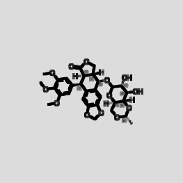 COc1cc([C@@H]2c3cc4c(cc3[C@@H](OC3O[C@@H]5CO[C@@H](C)O[C@H]5[C@H](O)[C@H]3O)[C@H]3COC(=O)[C@H]23)OCO4)cc(OC)c1OC